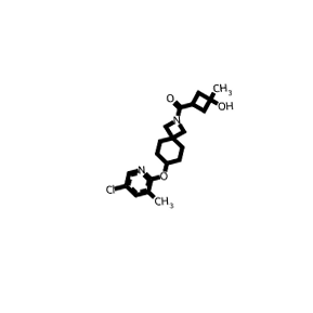 Cc1cc(Cl)cnc1OC1CCC2(CC1)CN(C(=O)C1CC(C)(O)C1)C2